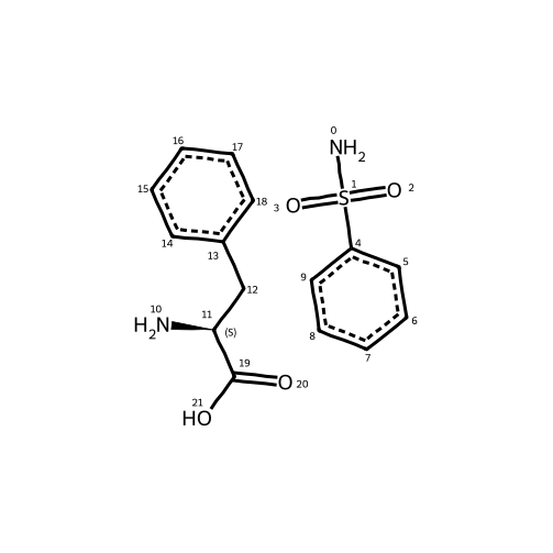 NS(=O)(=O)c1ccccc1.N[C@@H](Cc1ccccc1)C(=O)O